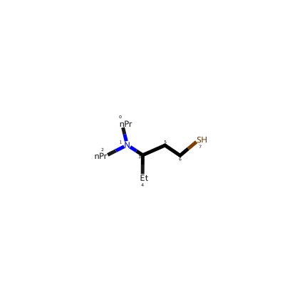 CCCN(CCC)C(CC)CCS